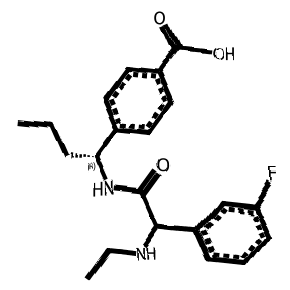 CCC[C@@H](NC(=O)C(NCC)c1cccc(F)c1)c1ccc(C(=O)O)cc1